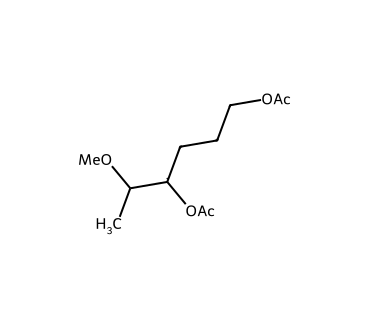 COC(C)[C](CCCOC(C)=O)OC(C)=O